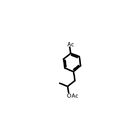 CC(=O)OC(C)Cc1ccc(C(C)=O)cc1